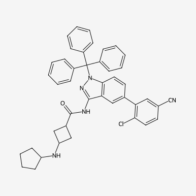 N#Cc1ccc(Cl)c(-c2ccc3c(c2)c(NC(=O)C2CC(NC4CCCC4)C2)nn3C(c2ccccc2)(c2ccccc2)c2ccccc2)c1